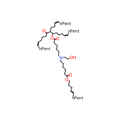 CCCCC/C=C\CCCC(=O)C(CC/C=C\CCCCC)C(CCC/C=C\CCCCC)OC(=O)CCCCCN(CCO)CCCCCC(=O)OCCC/C=C/CCCCC